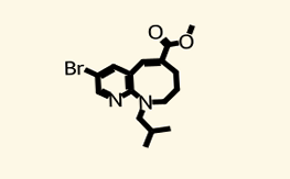 COC(=O)C1=Cc2cc(Br)cnc2N(CC(C)C)CCC1